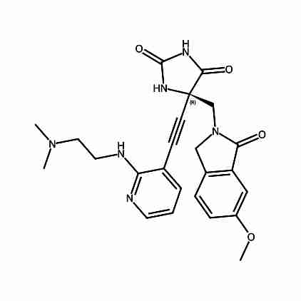 COc1ccc2c(c1)C(=O)N(C[C@@]1(C#Cc3cccnc3NCCN(C)C)NC(=O)NC1=O)C2